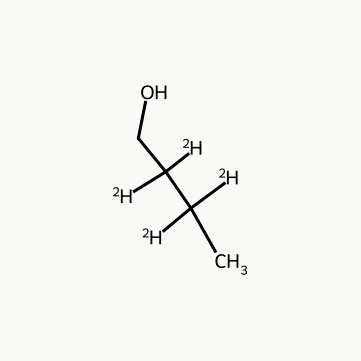 [2H]C([2H])(C)C([2H])([2H])CO